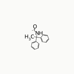 CC(N[C]=O)(c1ccccc1)c1ccccc1